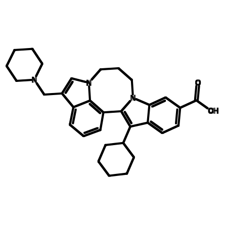 O=C(O)c1ccc2c(C3CCCCC3)c3n(c2c1)CCCn1cc(CN2CCCCC2)c2cccc-3c21